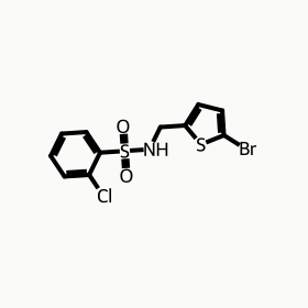 O=S(=O)(NCc1ccc(Br)s1)c1ccccc1Cl